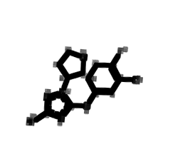 FC1=C(Cl)C=C(Oc2nc(Br)nn2C2CCOC2)CC1